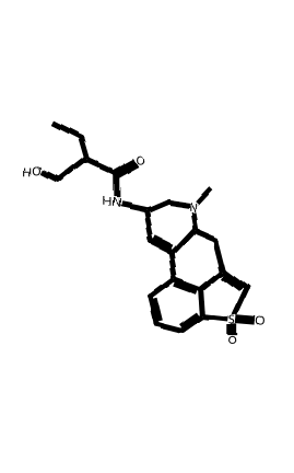 CCC(CO)C(=O)NC1C=C2c3cccc4c3C(=CS4(=O)=O)CC2N(C)C1